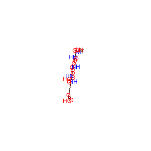 O=C(CCC(NC(=O)CCCCCCCCCCCOc1ccc(C(=O)O)cc1)C(=O)O)NCCOCCOCC(=O)NCCOCCOCC(=O)NCCCCC(NC(=O)CBr)C(=O)O